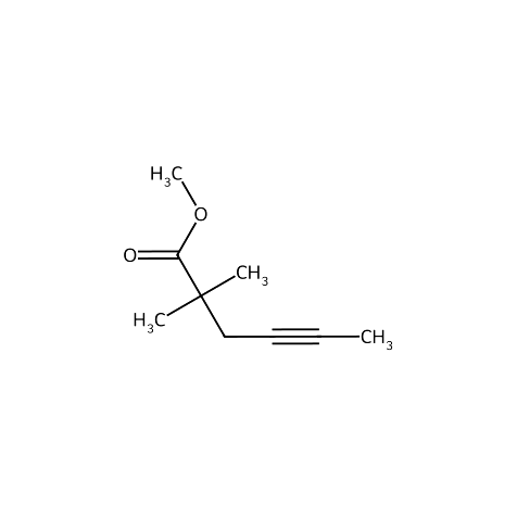 CC#CCC(C)(C)C(=O)OC